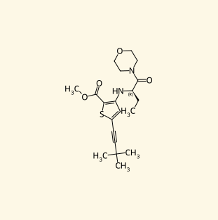 CC[C@@H](Nc1cc(C#CC(C)(C)C)sc1C(=O)OC)C(=O)N1CCOCC1